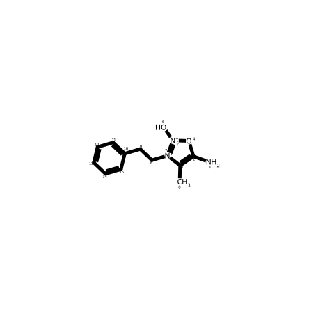 Cc1c(N)o[n+](O)[n+]1CCc1ccccc1